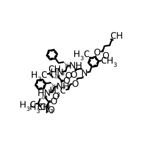 C#CCCC(=O)Oc1c(C)cc(CN(CCOCCC)CC(=O)N[C@@H](CCc2ccccc2)C(=O)N[C@@H](CC(C)C)C(=O)N[C@@H](Cc2ccccc2)C(=O)N[C@@H](CC(C)C)C(=O)[C@@]2(C)CO2)cc1C